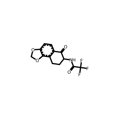 O=C1c2ccc3c(c2CCC1NC(=O)C(F)(F)F)OCO3